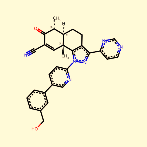 C[C@H]1C(=O)C(C#N)=C[C@@]2(C)c3c(c(-c4ccncn4)nn3-c3ccc(-c4cccc(CO)c4)cn3)CC[C@H]12